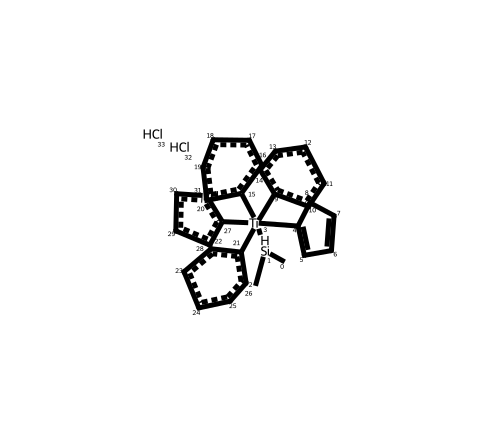 C[SiH](C)[Ti]([C]1=CC=CC1)([c]1ccccc1)([c]1ccccc1)([c]1ccccc1)[c]1ccc[pH]1.Cl.Cl